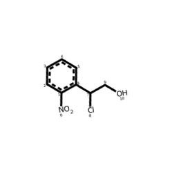 O=[N+]([O-])c1ccccc1C(Cl)CO